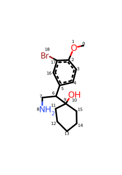 COc1ccc(C(CN)C2(O)CCCCC2)cc1Br